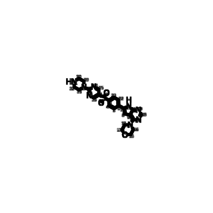 O=S(=O)(c1ccc(-c2cc3c(N4CCOCC4)ncnc3[nH]2)cc1)c1cnc(N2CCNCC2)nc1